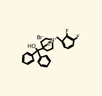 OC(c1ccccc1)(c1ccccc1)C12CC[N+](Cc3cccc(F)c3F)(CC1)CC2.[Br-]